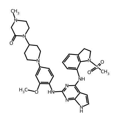 COc1cc(N2CCC(N3CCN(C)CC3=O)CC2)ccc1Nc1nc(Nc2cccc3c2N(S(C)(=O)=O)CC3)c2cc[nH]c2n1